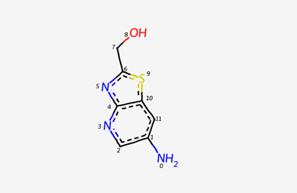 Nc1cnc2nc(CO)sc2c1